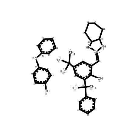 CC(C)(C)c1cc([CH]=[Co]2[NH]C3CCCCC3[NH]2)c(O)c(C(C)(C)c2ccccc2)c1.Oc1ccc(Oc2ccccc2)cc1